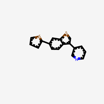 c1cncc(-c2csc3cc(-c4cccs4)ccc23)c1